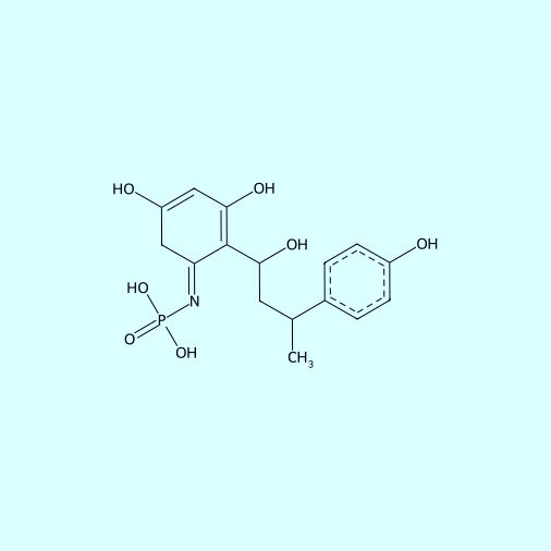 CC(CC(O)C1=C(O)C=C(O)CC1=NP(=O)(O)O)c1ccc(O)cc1